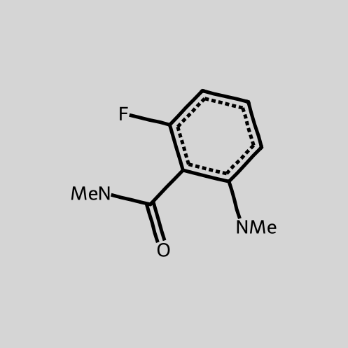 CNC(=O)c1c(F)cccc1NC